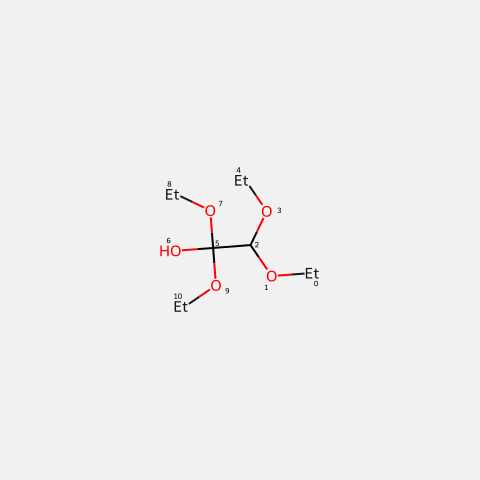 CCOC(OCC)C(O)(OCC)OCC